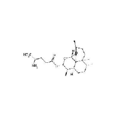 C[C@H]1[C@H](OC(=O)CC[C@H](N)C(=O)O)O[C@@H]2O[C@@]3(C)CC[C@H]4[C@H](C)CC[C@@H]1[C@@]24OO3